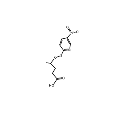 CC(CCC(=O)O)SSc1ccc([N+](=O)[O-])cn1